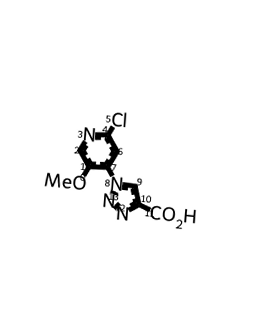 COc1cnc(Cl)cc1-n1cc(C(=O)O)nn1